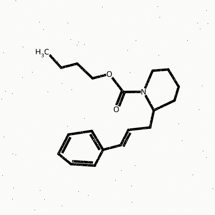 CCCCOC(=O)N1CCCCC1C/C=C/c1ccccc1